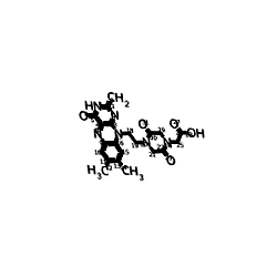 C=c1nc2c(c(=O)[nH]1)=Nc1cc(C)c(C)cc1N2CCN1CC(=O)N(CC(=O)O)CC1=O